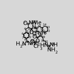 CNC(=O)C(Cc1ccc(C(=N)N)cc1)C(=O)N[C@@H](CC1CCCCC1)C(=O)N[C@@H](CCCNC(=N)N)C(=O)OC(=O)C(F)(F)F